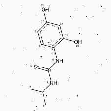 CC(C)NC(=S)Nc1ccc(O)cc1O